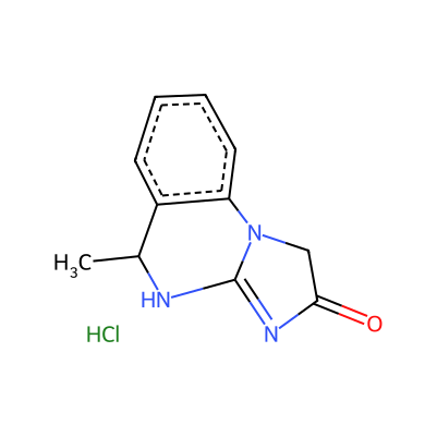 CC1NC2=NC(=O)CN2c2ccccc21.Cl